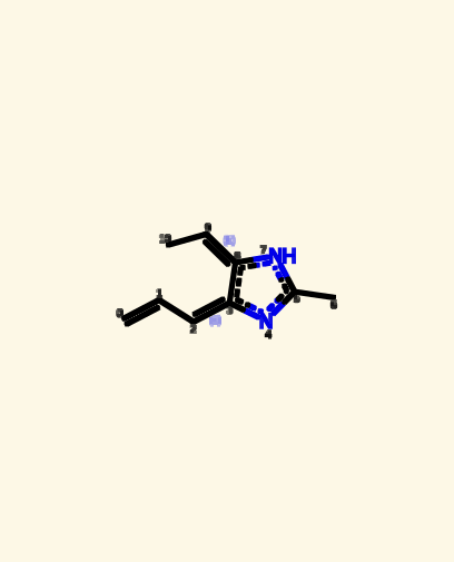 C=C/C=c1/nc(C)[nH]/c1=C/C